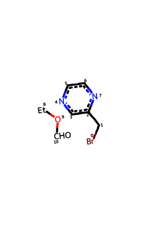 BrCc1cnccn1.CCOC=O